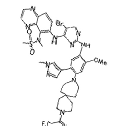 COc1cc(N2CCC3(CCN(C(=O)C(F)(F)F)CC3)CC2)c(-c2cnn(C)c2)cc1Nc1ncc(Br)c(Nc2ccc3nccnc3c2N(C)S(C)(=O)=O)n1